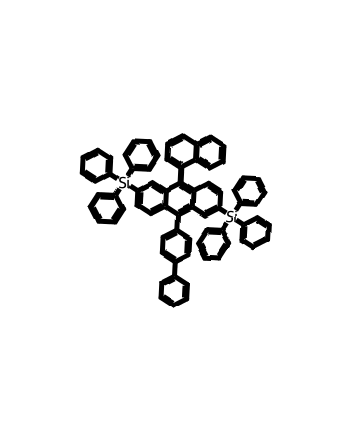 c1ccc(-c2ccc(-c3c4cc([Si](c5ccccc5)(c5ccccc5)c5ccccc5)ccc4c(-c4cccc5ccccc45)c4cc([Si](c5ccccc5)(c5ccccc5)c5ccccc5)ccc34)cc2)cc1